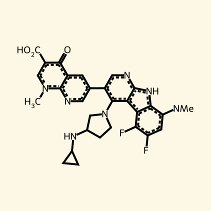 CNc1cc(F)c(F)c2c1[nH]c1ncc(-c3cnc4c(c3)c(=O)c(C(=O)O)cn4C)c(N3CCC(NC4CC4)C3)c12